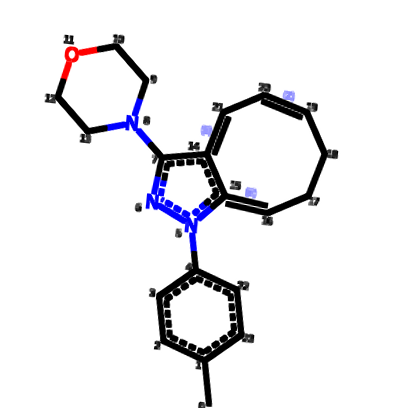 Cc1ccc(-n2nc(N3CCOCC3)c3/c2=C\CC/C=C\C=3)cc1